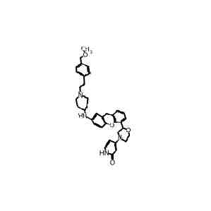 COCc1ccc(CCN2CCC(Nc3ccc4c(c3)Cc3cccc(C5CN(c6cc[nH]c(=O)c6)CCO5)c3O4)CC2)cc1